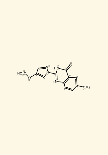 COc1ccc2nc(-n3cc(OC(=O)O)cn3)[nH]c(=O)c2c1